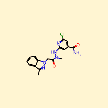 Cc1nn(CC(=O)N(C)Nc2cc(C(N)=O)cc(Cl)n2)c2ccccc12